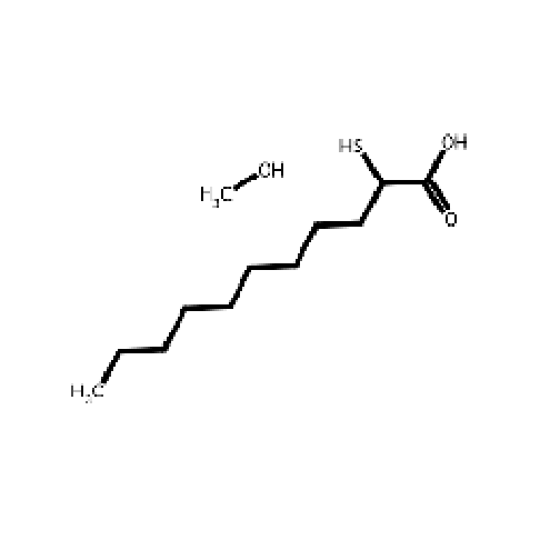 CCCCCCCCCC(S)C(=O)O.CO